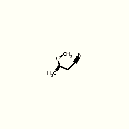 C=C(CC#N)OC